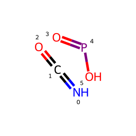 N=C=O.O=PO